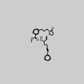 COC(=O)c1cccc(CCCN2C(=O)CC[C@@H]2C=C[C@H](O)[C@@H](C)CC#Cc2ccccc2)c1